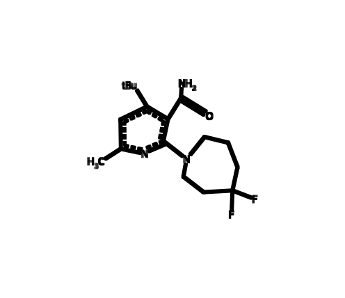 Cc1cc(C(C)(C)C)c(C(N)=O)c(N2CCCC(F)(F)CC2)n1